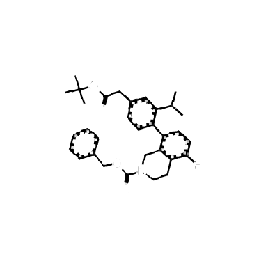 CC(C)c1cc(CC(=O)OC(C)(C)C)ccc1-c1ccc(F)c2c1CN(C(=O)OCc1ccccc1)CC2